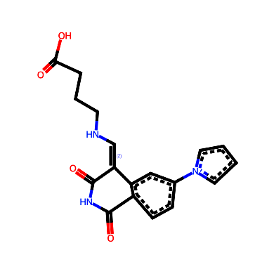 O=C(O)CCCN/C=C1\C(=O)NC(=O)c2ccc(-n3cccc3)cc21